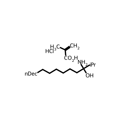 C=C(C)C(=O)O.CCCCCCCCCCCCCCCCC(N)(O)C(C)C.Cl